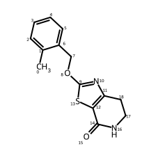 Cc1ccccc1COc1nc2c(s1)C(=O)NCC2